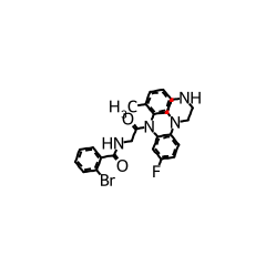 Cc1ccccc1N(C(=O)CNC(=O)c1ccccc1Br)c1cc(F)ccc1N1CCNCC1